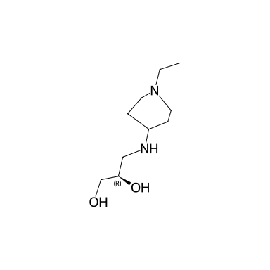 CCN1CCC(NC[C@@H](O)CO)CC1